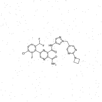 NC(=O)c1ncc(-c2c(C(F)F)ccc(Cl)c2F)nc1C(=O)Nc1cnn(Cc2cnc(N3CCC3)nc2)c1